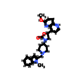 COc1ccc2nccc(C3CN(C4CCN(Cc5cc6ccccc6n5C)CC4)C(=O)O3)c2n1